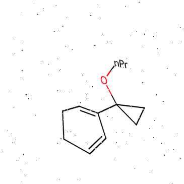 CCCOC1(C2=CC[CH]C=C2)CC1